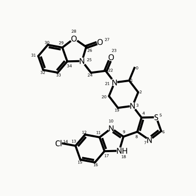 CC1CN(c2scnc2-c2nc3cc(Cl)ccc3[nH]2)CCN1C(=O)Cn1c(=O)oc2ccccc21